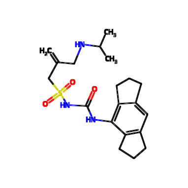 C=C(CNC(C)C)CS(=O)(=O)NC(=O)Nc1c2c(cc3c1CCC3)CCC2